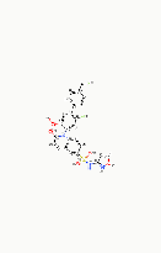 COc1cc(-c2ccc(CF)cc2)c(F)cc1-n1c(=O)ccc2cc(S(=O)(=O)Nc3ccon3)ccc21